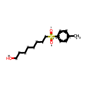 Cc1ccc(S(=O)(=O)CCCCCCCCO)cc1